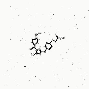 COC(=O)COc1ccc(Nc2nc(N)n(C(=O)c3ccc(OC(C)C)cc3)n2)cc1